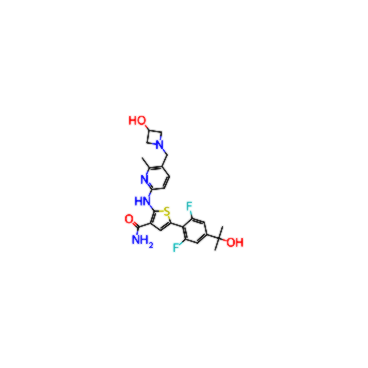 Cc1nc(Nc2sc(-c3c(F)cc(C(C)(C)O)cc3F)cc2C(N)=O)ccc1CN1CC(O)C1